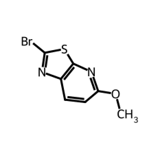 COc1ccc2nc(Br)sc2n1